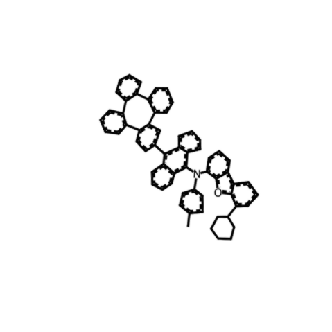 Cc1ccc(N(c2c3ccccc3c(-c3ccc4c(c3)-c3ccccc3-c3ccccc3-c3ccccc3-4)c3ccccc23)c2cccc3c2oc2c(C4CCCCC4)cccc23)cc1